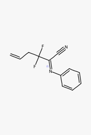 C=CCC(F)(F)/C(C#N)=N/c1ccccc1